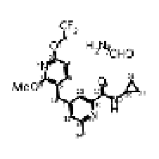 COc1nc(OCC(F)(F)F)ccc1Cc1cc(C)nc(C(=O)NC2CC2)c1.NC=O